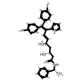 C[C@@H](NC(=O)C[C@H](O)C[C@H](O)/C=C/C(=C(c1ccc(F)cc1)c1ccc(F)cc1)c1cccs1)c1ccccc1